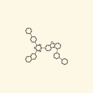 c1ccc(-c2ccc(-c3nc(-c4ccc5ccccc5c4)nc(-c4ccc5c(c4)oc4cccc(-c6cccc(-c7ccccc7)c6)c45)n3)cc2)cc1